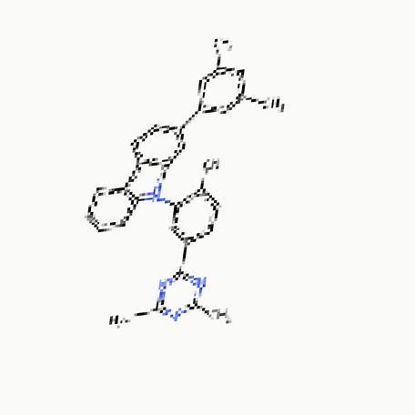 Cc1cc(-c2ccc3c4ccccc4n(-c4cc(-c5nc(C)nc(C)n5)ccc4C#N)c3c2)cc(C(F)(F)F)c1